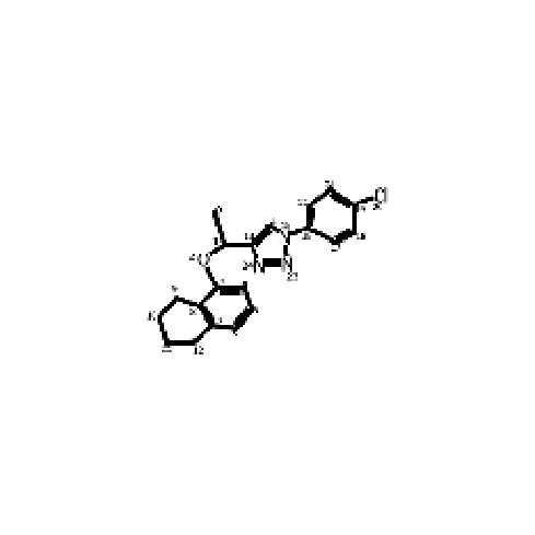 CC(Oc1cccc2c1CCCC2)c1cn(-c2ccc(Cl)cc2)nn1